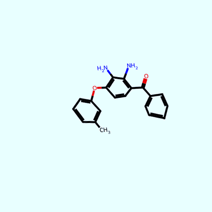 Cc1cccc(Oc2ccc(C(=O)c3ccccc3)c(N)c2N)c1